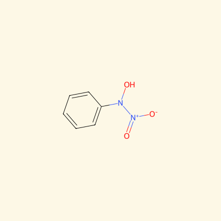 O=[N+]([O-])N(O)c1ccccc1